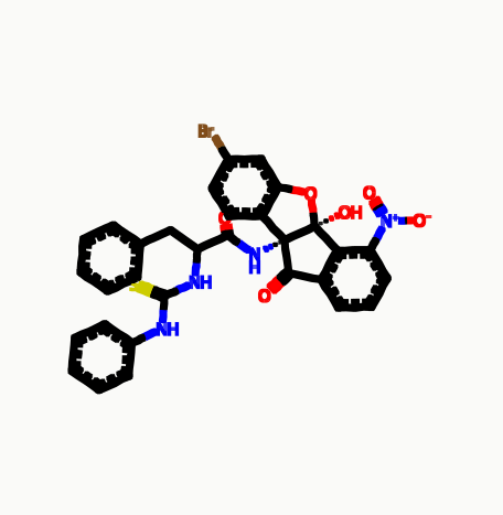 O=C(N[C@@]12C(=O)c3cccc([N+](=O)[O-])c3[C@]1(O)Oc1cc(Br)ccc12)C(Cc1ccccc1)NC(=S)Nc1ccccc1